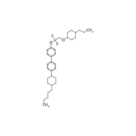 CCCCCC1CCC(c2ccc(-c3ccc(OC(F)(F)COC4CCC(CCC)CC4)cc3)cc2)CC1